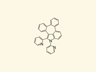 c1ccc(-c2c3c4c(cccc4n2-c2ccccn2)-c2ccccc2-c2ccccc2-3)nc1